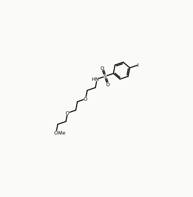 COCCOCCOCCNS(=O)(=O)c1ccc(I)cc1